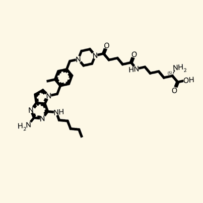 CCCCCNc1nc(N)nc2ccn(Cc3ccc(CN4CCN(C(=O)CCCC(=O)NCCCC[C@H](N)C(=O)O)CC4)cc3C)c12